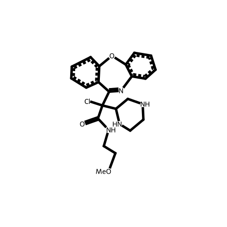 COCCNC(=O)C(Cl)(C1=Nc2ccccc2Oc2ccccc21)C1CNCCN1